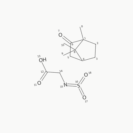 CC12CCC(CC1=O)C2(C)C.O=C(O)CN=S(=O)=O